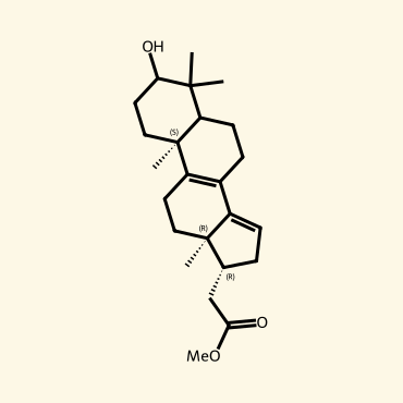 COC(=O)C[C@H]1CC=C2C3=C(CC[C@@]21C)[C@@]1(C)CCC(O)C(C)(C)C1CC3